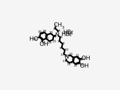 Br.Br.CCCN(CCCCCCN1CCc2cc(O)c(O)cc2C1)C1CCc2c(ccc(O)c2O)C1